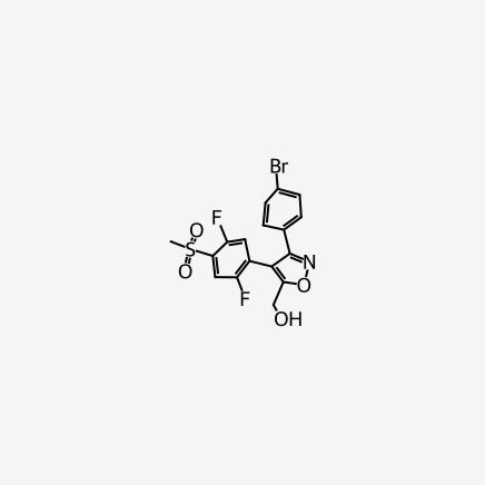 CS(=O)(=O)c1cc(F)c(-c2c(-c3ccc(Br)cc3)noc2CO)cc1F